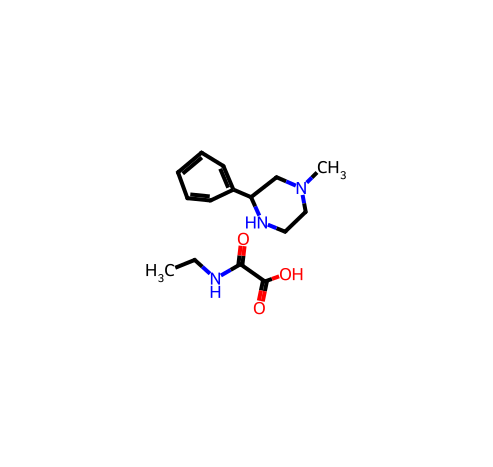 CCNC(=O)C(=O)O.CN1CCNC(c2ccccc2)C1